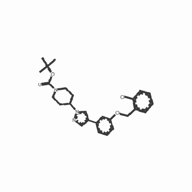 CC(C)(C)OC(=O)N1CCC(n2cc(-c3cccc(OCc4ccccc4Cl)c3)cn2)CC1